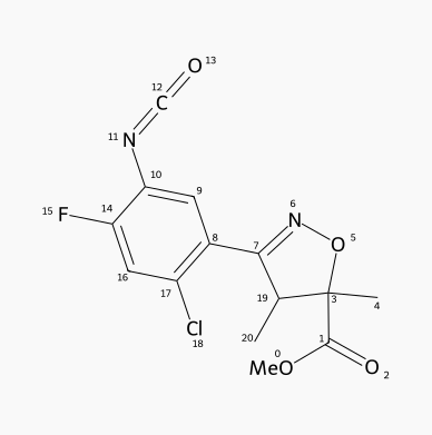 COC(=O)C1(C)ON=C(c2cc(N=C=O)c(F)cc2Cl)C1C